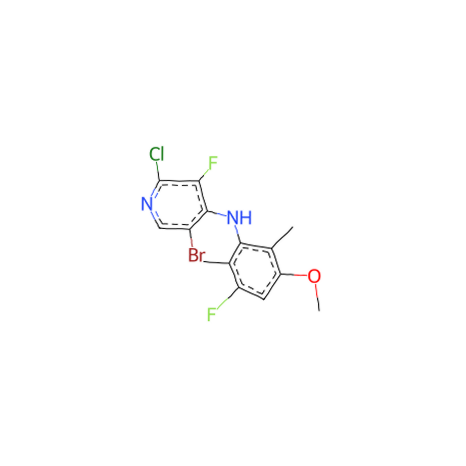 COc1cc(F)c(C)c(Nc2c(Br)cnc(Cl)c2F)c1C